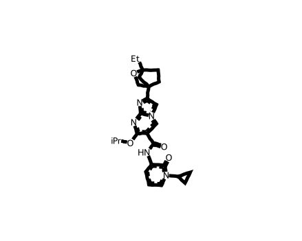 CCC12CCC(c3cn4cc(C(=O)Nc5cccn(C6CC6)c5=O)c(OC(C)C)nc4n3)(CO1)C2